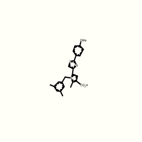 COc1ccc(-c2nc(-c3cc(C(=O)O)c(C)n3Cc3cc(C)cc(C)c3)cs2)cc1